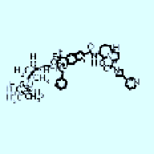 CC(C)(CO[Si](C)(C)C(C)(C)C)C(O)=[SH]CCOP(=O)(NCc1ccccc1)C(F)(F)c1ccc2sc(C(=O)N[C@H]3CCC[C@H]4CC[C@@H](C(=O)N5CC(c6cccnc6)C5)N4C3=O)cc2c1